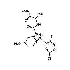 CNC(=O)C(NC(=O)c1nc(-c2cc(Cl)ccc2F)n2c1CN(C)CC2)C(C)(C)C